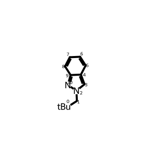 CC(C)(C)Cn1cc2ccccc2n1